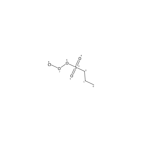 CCCS(=O)(=O)OOCl